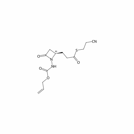 C=CCOC(=O)NN1C(=O)C[C@H]1CCC(=O)SCCC#N